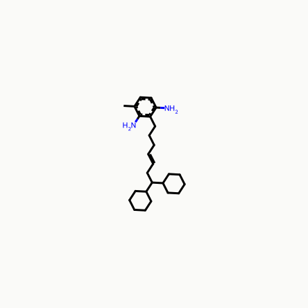 Cc1ccc(N)c(CCCC=CCC(C2CCCCC2)C2CCCCC2)c1N